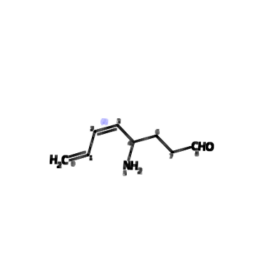 C=C/C=C\C(N)CCC=O